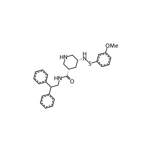 COc1cccc(SN[C@H]2CNC[C@@H](C(=O)NCC(c3ccccc3)c3ccccc3)C2)c1